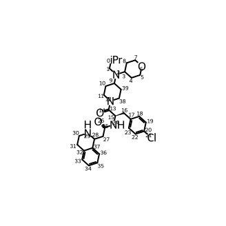 CC(C)CN(C1CCOCC1)C1CCN(C(=O)[C@@H](Cc2ccc(Cl)cc2)NC(=O)CC2NCCc3ccccc32)CC1